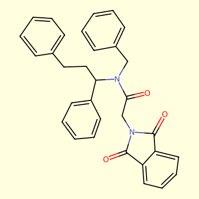 O=C1c2ccccc2C(=O)N1CC(=O)N(Cc1ccccc1)C(CCc1ccccc1)c1ccccc1